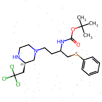 CC(C)(C)OC(=O)NC(CCN1CCN[C@H](CC(Cl)(Cl)Cl)C1)CSc1ccccc1